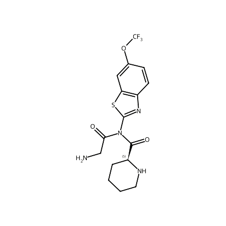 NCC(=O)N(C(=O)[C@@H]1CCCCN1)c1nc2ccc(OC(F)(F)F)cc2s1